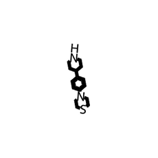 c1cc(N2CCSCC2)ccc1C1CCNCC1